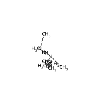 CCCCCCCCCCCCN(C)CCCN1CCN(CCCN(CCCCCCCCCCCC)CCCOC2OC(CC)C(C)C(OC(C)=O)C2OC(C)=O)CC1